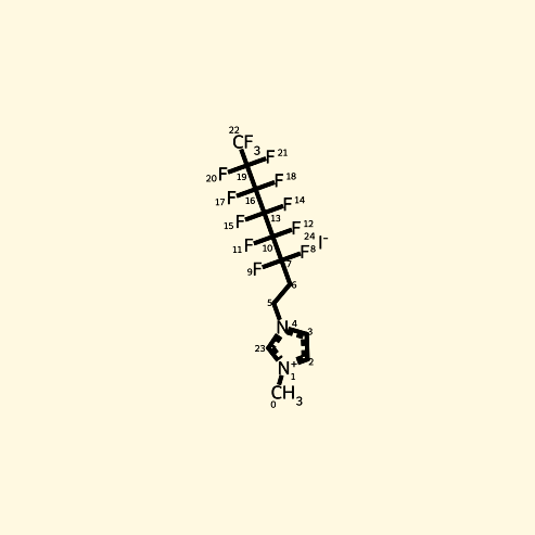 C[n+]1ccn(CCC(F)(F)C(F)(F)C(F)(F)C(F)(F)C(F)(F)C(F)(F)F)c1.[I-]